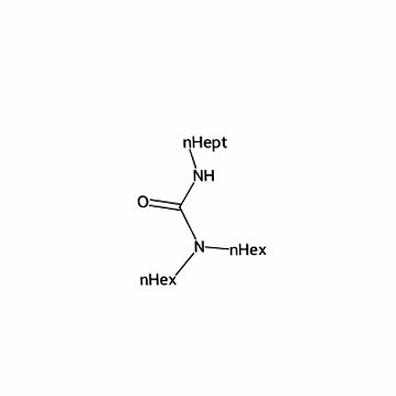 CCCCCCCNC(=O)N(CCCCCC)CCCCCC